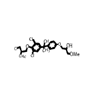 COCC(O)COc1ccc(C(C)(C)c2cc(Cl)c(OCC(CCl)OC(C)=O)c(Cl)c2)cc1